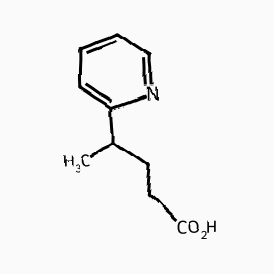 CC(CCC(=O)O)c1ccccn1